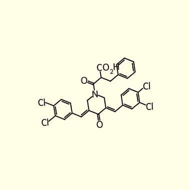 O=C1/C(=C/c2ccc(Cl)c(Cl)c2)CN(C(=O)C(Cc2ccccc2)C(=O)O)C/C1=C\c1ccc(Cl)c(Cl)c1